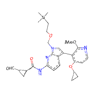 COc1nccc(OC2CC2)c1-c1cn(COCC[Si](C)(C)C)c2nc(NC(=O)C3CC3C=O)ccc12